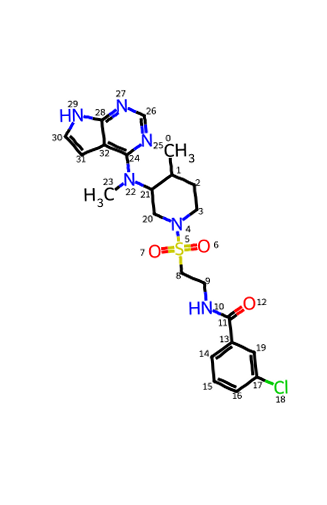 CC1CCN(S(=O)(=O)CCNC(=O)c2cccc(Cl)c2)CC1N(C)c1ncnc2[nH]ccc12